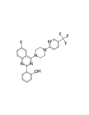 Oc1ccccc1-c1nc(N2CCN(c3ccc(C(F)(F)F)cn3)CC2)c2cc(F)ccc2n1